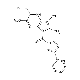 COC(=O)C(CC(C)C)Nc1sc(C(=O)c2ccc(-c3ccccn3)s2)c(N)c1C#N